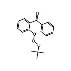 CC(C)(C)OOOc1ccccc1C(=O)c1ccccc1